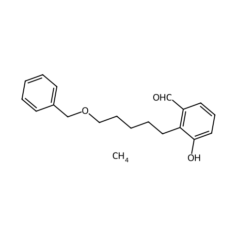 C.O=Cc1cccc(O)c1CCCCCOCc1ccccc1